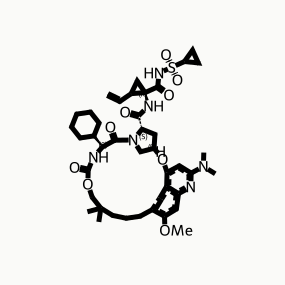 C=CC1C[C@]1(NC(=O)[C@@H]1C[C@@H]2CN1C(=O)[C@H](C1CCCCC1)NC(=O)OCC(C)(C)CCCc1cc3c(cc(N(C)C)nc3cc1OC)O2)C(=O)NS(=O)(=O)C1CC1